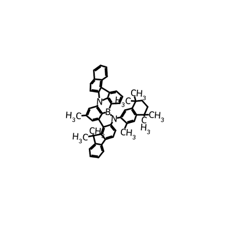 Cc1cc2c3c(c1)-n1c4ccc5ccccc5c4c4cccc(c41)B3N(c1cc3c(cc1C)C(C)(C)CCC3(C)C)c1ccc3c(c1-2)C(C)(C)c1ccccc1-3